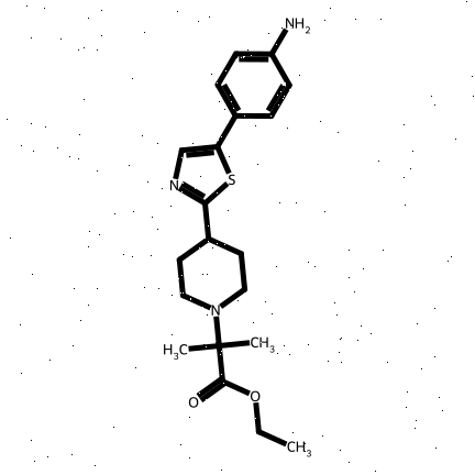 CCOC(=O)C(C)(C)N1CCC(c2ncc(-c3ccc(N)cc3)s2)CC1